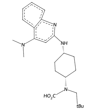 CN(C)c1cc(N[C@H]2CC[C@@H](N(CC(C)(C)C)C(=O)O)CC2)nc2ccccc12